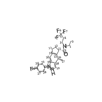 CCN(CCC(F)(F)F)C(=O)[C@H]1CCC2=C1[C@@H](C)C1=CNN(c3ccc(F)cc3)C1=C2